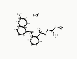 Cl.O=C(OCC(O)CO)c1ccccc1Nc1ccnc2cc(Cl)ccc12